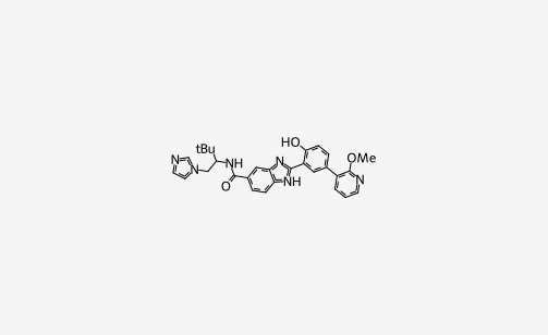 COc1ncccc1-c1ccc(O)c(-c2nc3cc(C(=O)NC(Cn4ccnc4)C(C)(C)C)ccc3[nH]2)c1